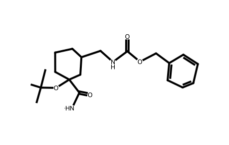 CC(C)(C)OC1(C([NH])=O)CCCC(CNC(=O)OCc2ccccc2)C1